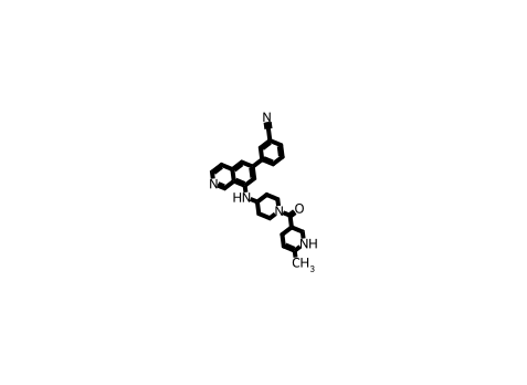 CC1=CCC(C(=O)N2CCC(Nc3cc(-c4cccc(C#N)c4)cc4ccncc34)CC2)CN1